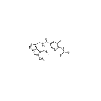 Cc1cn2ncc(CNC(=O)c3cnc(OC(F)F)c(F)c3)c2n1C